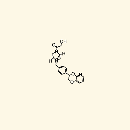 O=C(CO)N1C[C@@H]2C[C@H]1CN2Cc1ccc(C2COc3cccnc3O2)cc1